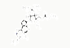 COC(=O)OC[C@@]1(C)O[C@@H](c2ccc3c(/N=C\N(C)C)ncnn23)[C@@H]2OC(C)(C)O[C@@H]21